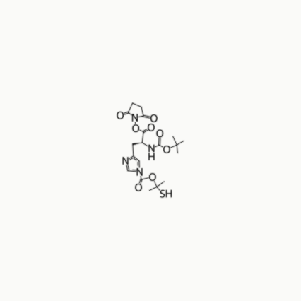 CC(C)(C)OC(=O)N[C@@H](Cc1cn(C(=O)OC(C)(C)S)cn1)C(=O)ON1C(=O)CCC1=O